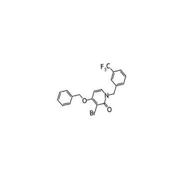 O=c1c(Br)c(OCc2ccccc2)ccn1Cc1cccc(C(F)(F)F)c1